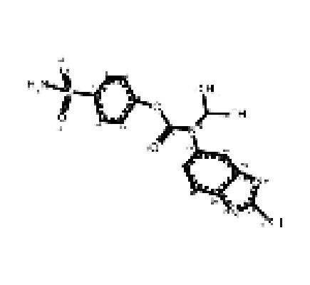 CC(C)N(C(=O)Oc1ccc(S(N)(=O)=O)cc1)c1ccc2nc(S)sc2c1